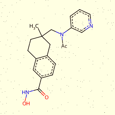 CC(=O)N(CC1(C)CCc2cc(C(=O)NO)ccc2C1)c1cccnc1